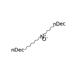 CCCCCCCCCCCCCCCC=[N+]([O-])CCCCCCCCCCCCCCCCCC